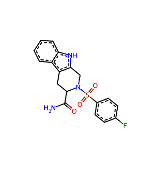 NC(=O)C1Cc2c([nH]c3ccccc23)CN1S(=O)(=O)c1ccc(F)cc1